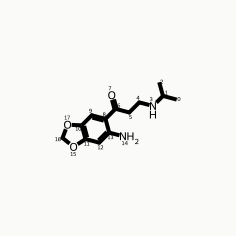 CC(C)NCCC(=O)c1cc2c(cc1N)OCO2